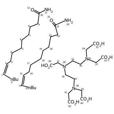 CCCC/C=C\CCCCCCCC(N)=O.CCCC/C=C\CCCCCCCC(N)=O.O=C(O)CN(CCN(CC(=O)O)CC(=O)O)CCN(CC(=O)O)CC(=O)O